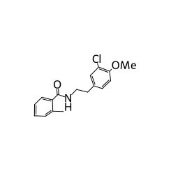 COc1ccc(CCNC(=O)c2ccccc2C)cc1Cl